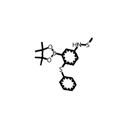 CSNc1ccc(Sc2ccccc2)c(B2OC(C)(C)C(C)(C)O2)c1